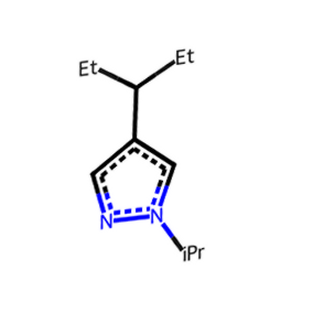 CCC(CC)c1cnn(C(C)C)c1